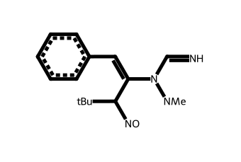 CNN(C=N)/C(=C/c1ccccc1)C(N=O)C(C)(C)C